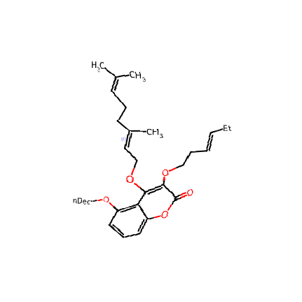 CCC=CCCOc1c(OC/C=C(\C)CCC=C(C)C)c2c(OCCCCCCCCCC)cccc2oc1=O